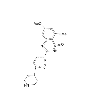 COc1cc(OC)c2c(=O)[nH]c(-c3ccc(C4=CCNCC4)cc3)nc2c1